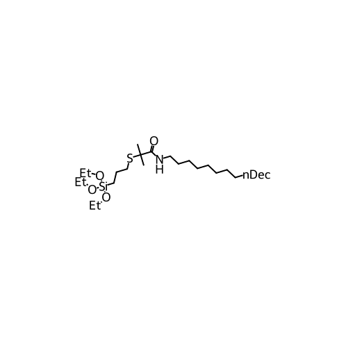 CCCCCCCCCCCCCCCCCCNC(=O)C(C)(C)SCCC[Si](OCC)(OCC)OCC